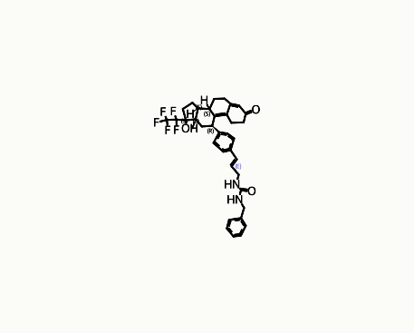 C[C@]12C[C@H](c3ccc(/C=C/CNC(=O)NCc4ccccc4)cc3)C3=C4CCC(=O)C=C4CC[C@H]3[C@@H]1CC[C@@]2(O)C(F)(F)C(F)(F)F